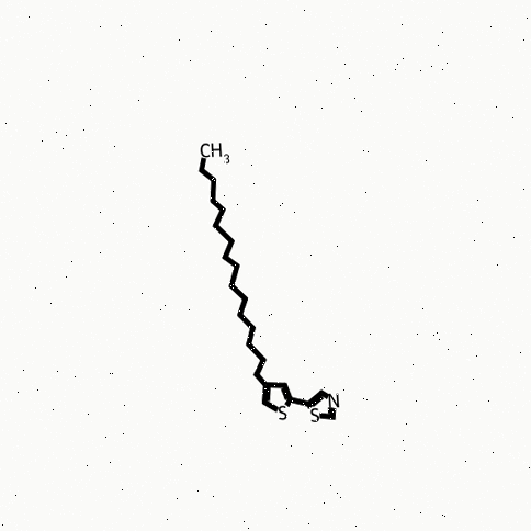 CCCCCCCCCCCCCCCCc1csc(-c2cncs2)c1